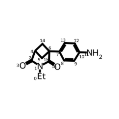 CCN1C(=O)C2CC(c3ccc(N)cc3)(C2)C1=O